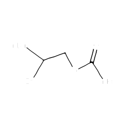 CCCCC(CC)COC(=O)CCC